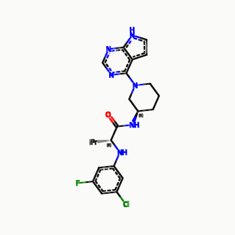 CC(C)[C@@H](Nc1cc(F)cc(Cl)c1)C(=O)N[C@@H]1CCCN(c2ncnc3[nH]ccc23)C1